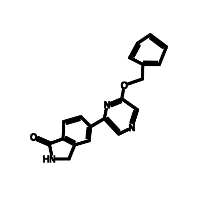 O=C1NCc2cc(-c3cncc(OCc4ccccc4)n3)ccc21